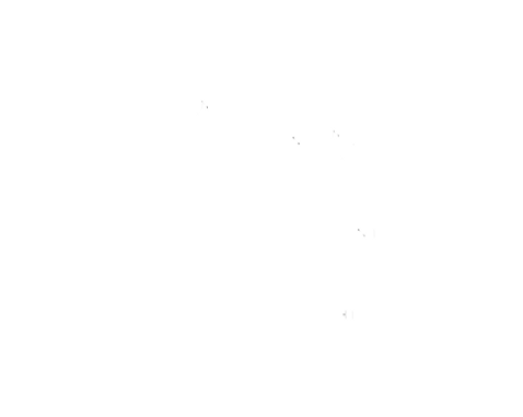 Nc1ccc(NCc2cc(NCCC(O)O)ccc2N)cc1